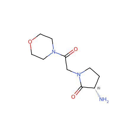 N[C@H]1CCN(CC(=O)N2CCOCC2)C1=O